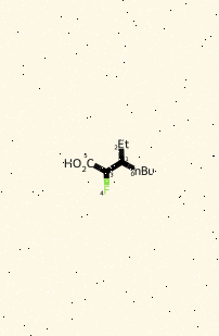 CCCCC(CC)C(F)C(=O)O